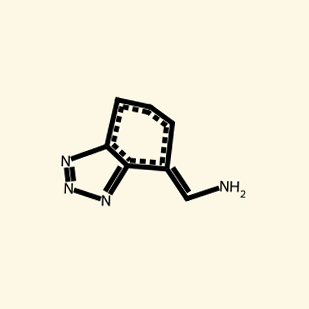 NC=c1cccc2c1=NN=N2